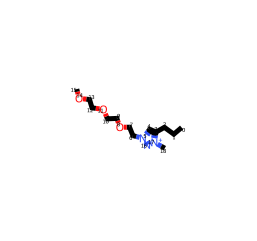 CCCc1cn(CCOCCOCCOC)n[n+]1C